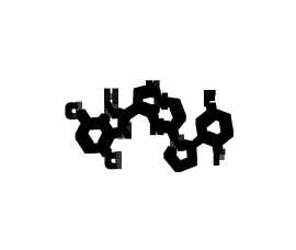 Fc1ccc(F)c([C@H]2CCCN2c2ccn3ncc(-c4nc5c(Cl)ccc(Cl)c5[nH]4)c3n2)c1